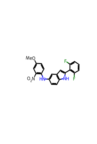 COc1ccc(Nc2ccc3[nH]c(-c4c(F)cccc4F)cc3c2)c([N+](=O)[O-])c1